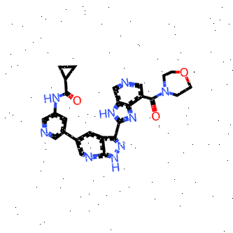 O=C(Nc1cncc(-c2cnc3[nH]nc(-c4nc5c(C(=O)N6CCOCC6)cncc5[nH]4)c3c2)c1)C1CC1